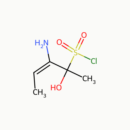 C/C=C(/N)C(C)(O)S(=O)(=O)Cl